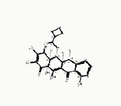 CC(=O)C1=C(O)C(C(C)C)[C@@]2(C)[C@H](CC(=O)C3CCC3)[C@]3(C)C(=C(O)[C@@]2(O)C1=O)C(=O)c1c(O)cccc1[C@H]3C